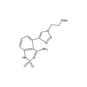 COCCn1cc(-c2cccc3c2C(N)=NS(=O)(=O)N3)nn1